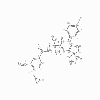 COc1cc(C(=O)NCC(C)(c2cc3c(c(-c4ccc(F)cc4)n2)OCC3(C)CN)C(F)(F)F)ccc1OC1CC1